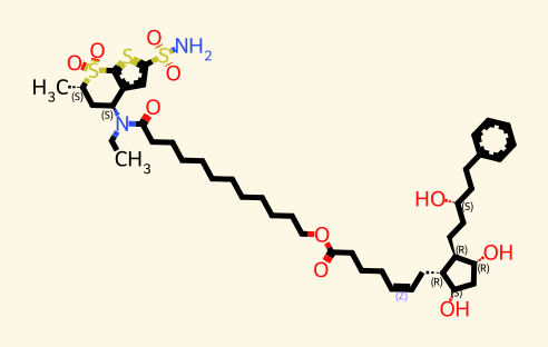 CCN(C(=O)CCCCCCCCCCCOC(=O)CCC/C=C\C[C@@H]1[C@@H](CC[C@H](O)CCc2ccccc2)[C@H](O)C[C@@H]1O)[C@H]1C[C@H](C)S(=O)(=O)c2sc(S(N)(=O)=O)cc21